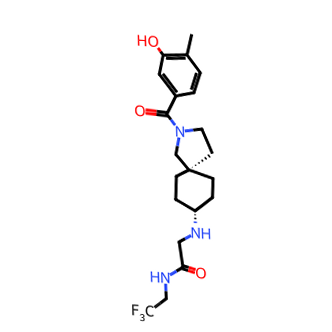 Cc1ccc(C(=O)N2CC[C@]3(CC[C@@H](NCC(=O)NCC(F)(F)F)CC3)C2)cc1O